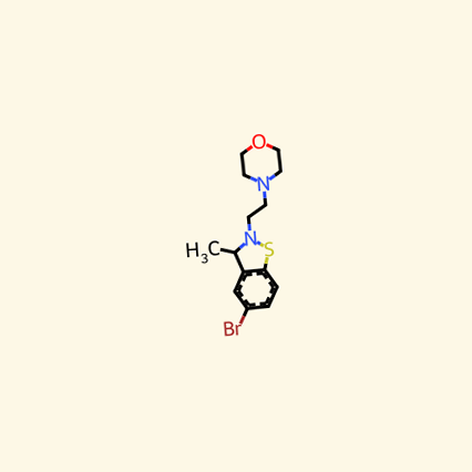 CC1c2cc(Br)ccc2SN1CCN1CCOCC1